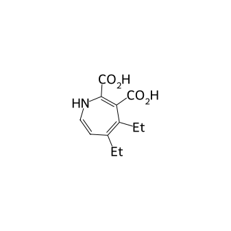 CCC1=C(CC)C(C(=O)O)=C(C(=O)O)NC=C1